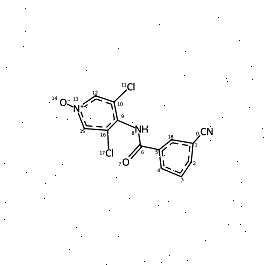 N#Cc1cccc(C(=O)Nc2c(Cl)c[n+]([O-])cc2Cl)c1